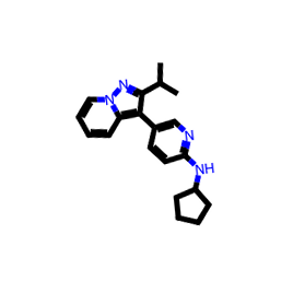 CC(C)c1nn2ccccc2c1-c1ccc(NC2CCCC2)nc1